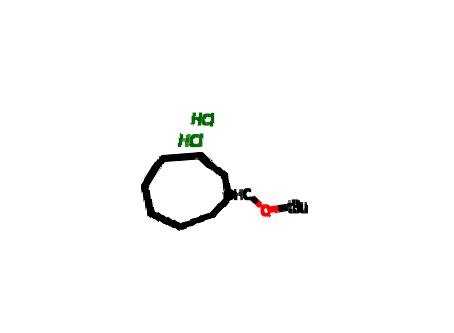 C1CCCCCCC1.CC(C)(C)OC=O.Cl.Cl